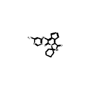 Nc1cc(Nc2c(=O)n3c(c4ccccc24)C(=O)NC32CCCCC2)ncn1